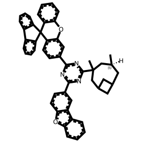 C[C@H]1CC2CC(C2)CC(C)(c2nc(-c3ccc4c(c3)Oc3ccccc3C43c4ccccc4-c4ccccc43)nc(-c3ccc4oc5ccccc5c4c3)n2)C1